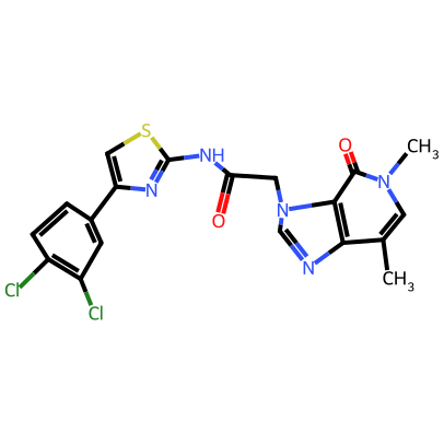 Cc1cn(C)c(=O)c2c1ncn2CC(=O)Nc1nc(-c2ccc(Cl)c(Cl)c2)cs1